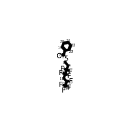 O=C(SCCC(F)(F)C(F)(F)CC(F)C(F)(F)F)c1ccccc1